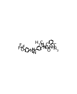 CC/C(=N\OC(=O)Nc1c(C)cccc1C)c1ccc(-c2ncn(-c3ccc(OC(F)(F)F)cc3)n2)cc1